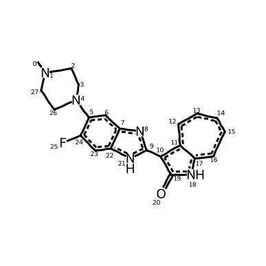 CN1CCN(c2cc3nc(-c4c5cccccc-5[nH]c4=O)[nH]c3cc2F)CC1